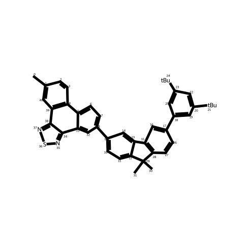 Cc1ccc2c3ccc(-c4ccc5c(c4)-c4cc(-c6cc(C(C)(C)C)cc(C(C)(C)C)c6)ccc4C5(C)C)cc3c3nsnc3c2c1